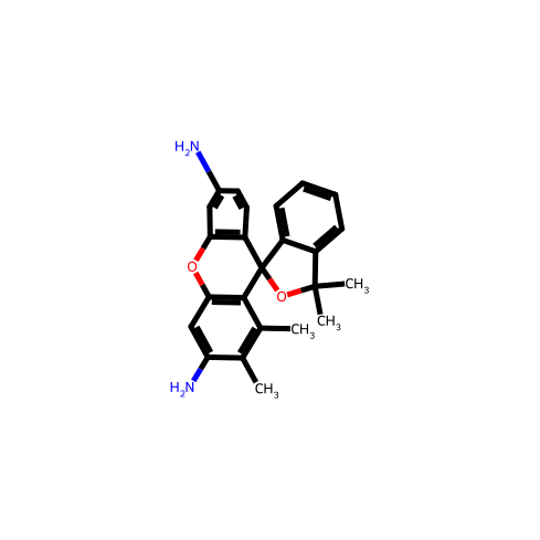 Cc1c(N)cc2c(c1C)C1(OC(C)(C)c3ccccc31)c1ccc(N)cc1O2